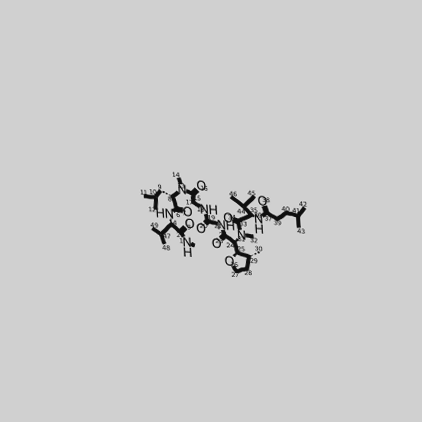 CNC(=O)[C@@H](NC(=O)[C@H](CC(C)C)N(C)C(=O)CNC(=O)NC(=O)[C@H]([C@@H]1OCC[C@H]1C)N(C)C(=O)[C@@H](NC(=O)CCC(C)C)C(C)C)C(C)C